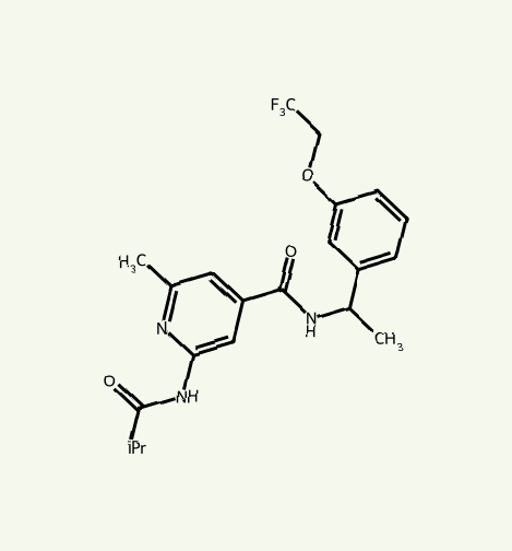 Cc1cc(C(=O)NC(C)c2cccc(OCC(F)(F)F)c2)cc(NC(=O)C(C)C)n1